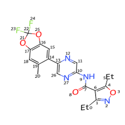 CCc1noc(CC)c1C(=O)Nc1cnc(-c2cc3c(cc2C)OC(F)(F)O3)cn1